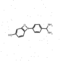 NC(N)c1ccc(-n2oc3cc(O)ccc32)cc1